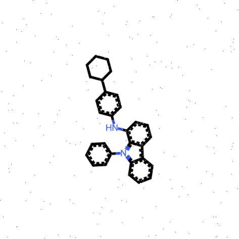 c1ccc(-n2c3ccccc3c3cccc(Nc4ccc(C5CCCCC5)cc4)c32)cc1